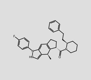 C[C@H]1C2=CNN(c3ccc(F)cc3)C2=CC2=C1[C@@H](C(=O)N1CCCC[C@@H]1CCc1ccccc1)CC2